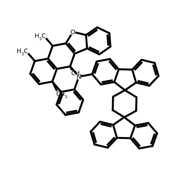 CC1C=CC2(C)C3=C1C(C)c1oc4ccccc4c1C3(C)N(c1ccc3c(c1)C1(CCC4(CC1)c1ccccc1-c1ccccc14)c1ccccc1-3)c1ccccc12